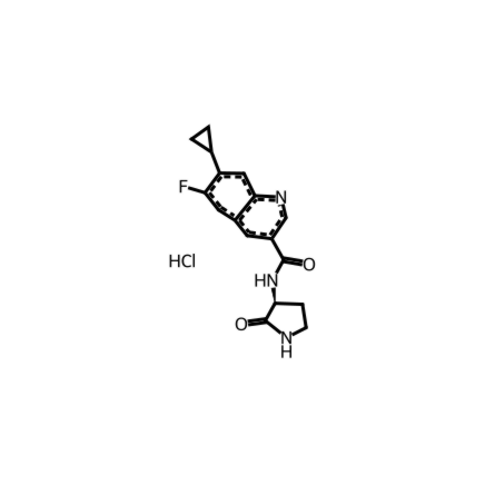 Cl.O=C(N[C@H]1CCNC1=O)c1cnc2cc(C3CC3)c(F)cc2c1